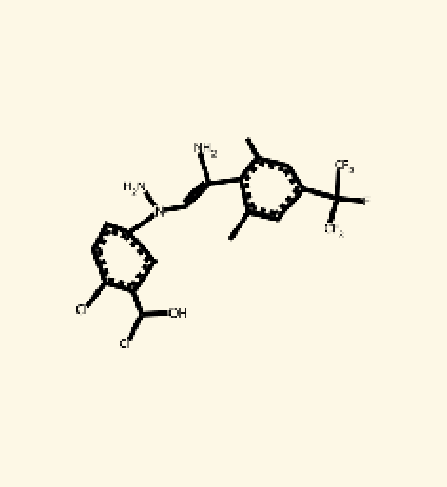 Cc1cc(C(F)(C(F)(F)F)C(F)(F)F)cc(C)c1/C(N)=C/N(N)c1ccc(Cl)c(C(O)Cl)c1